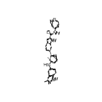 Cc1n[nH]c2ccc(Nc3ccnc(-c4ccc5cc(C(=O)Nc6ccnnc6)[nH]c5c4)n3)cc12